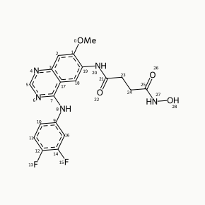 COc1cc2ncnc(Nc3ccc(F)c(F)c3)c2cc1NC(=O)CCC(=O)NO